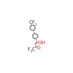 O=C(/C=C(\O)c1ccc(-c2ccc(C(F)(F)F)cc2)cc1)C(F)(F)F